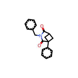 O=C1C2CC(c3ccccc3)(C2)C(=O)N1Cc1ccccc1